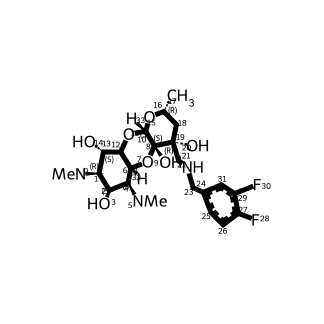 CN[C@@H]1[C@H](O)[C@H](NC)[C@H]2O[C@]3(O)[C@H](OC2[C@H]1O)O[C@H](C)C[C@@]3(O)CNCc1ccc(F)c(F)c1